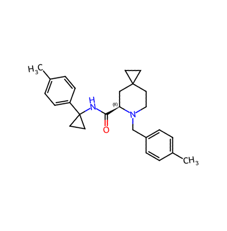 Cc1ccc(CN2CCC3(CC3)C[C@@H]2C(=O)NC2(c3ccc(C)cc3)CC2)cc1